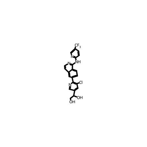 OCC(O)c1cnc(-c2ccc3c(Nc4ccc(C(F)(F)F)cn4)nccc3c2)c(Cl)c1